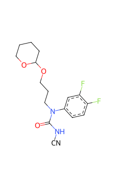 N#CNC(=O)N(CCCOC1CCCCO1)c1ccc(F)c(F)c1